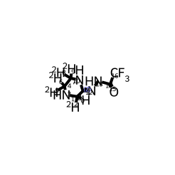 [2H]C1([2H])NC([2H])([2H])C([2H])([2H])N/C1=N\NC(=O)C(F)(F)F